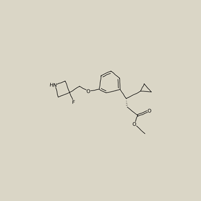 COC(=O)C[C@H](c1cccc(OCC2(F)CNC2)c1)C1CC1